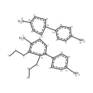 CCCc1c(N)ccc(-c2ccc(N)cc2)c1CCC.Nc1ccc(-c2ccc(N)cc2)cc1